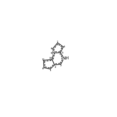 c1cc2c[nH]c3cccn3c-2c1